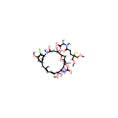 COCC(S)(CCC(=O)N(C)[C@H](C)C(=O)O[C@H]1CC(=O)N(C)c2cc(cc(OC)c2Cl)C/C(C)=C/C=C/[C@@H](OC)[C@@]2(O)C[C@H](OC(=O)N2)C2(C)C[C@@]1(C)O2)COC